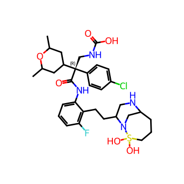 CC1CC([C@@](CNC(=O)O)(C(=O)Nc2cccc(F)c2CCC2CNC3CCCS(O)(O)N2C3)c2ccc(Cl)cc2)CC(C)O1